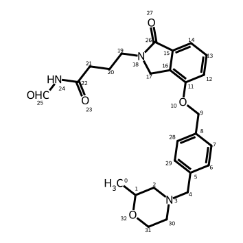 CC1CN(Cc2ccc(COc3cccc4c3CN(CCCC(=O)NC=O)C4=O)cc2)CCO1